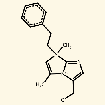 CC1=CS(C)(CCc2ccccc2)C2=NC=C(CO)[N+]12